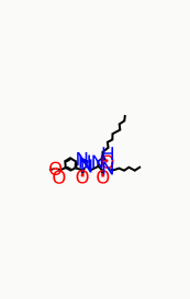 CCCCCCCCCC(=O)NC(Cn1cnc2ccc(C(=O)OC)cc2c1=O)C(=O)NCCCCCC